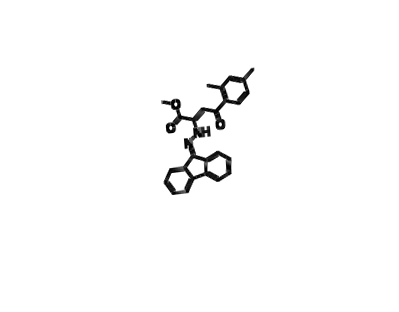 COC(=O)/C(=C/C(=O)c1ccc(C)cc1C)NN=C1c2ccccc2-c2ccccc21